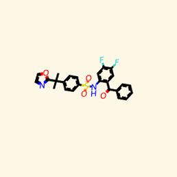 CC(C)(c1ccc(S(=O)(=O)Nc2cc(F)c(F)cc2C(=O)c2ccccc2)cc1)c1ncco1